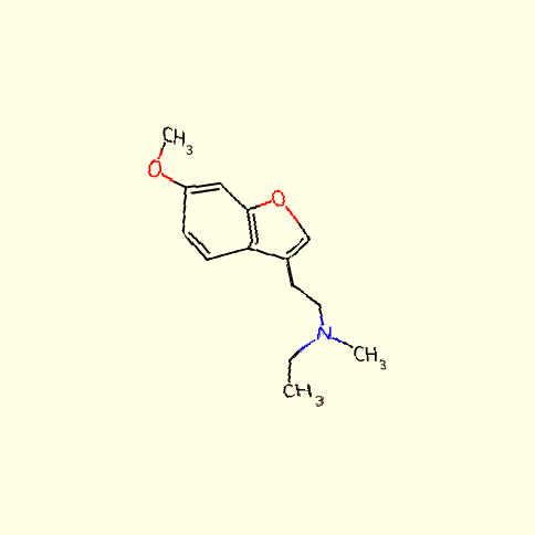 CCN(C)CCc1coc2cc(OC)ccc12